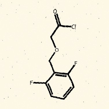 O=C(Cl)COCc1c(F)cccc1F